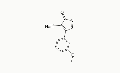 COc1cccc(C2=C(C#N)C(=O)N=C2)c1